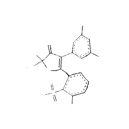 CC1(C)OC(c2cccc(F)c2S(N)(=O)=O)=C(c2cc(F)cc(F)c2)C1=O